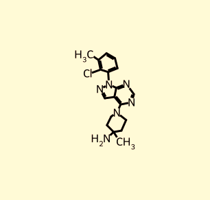 Cc1cccc(-n2ncc3c(N4CCC(C)(N)CC4)ncnc32)c1Cl